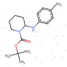 Cc1ccc(NC2CCCCN2C(=O)OC(C)(C)C)cc1